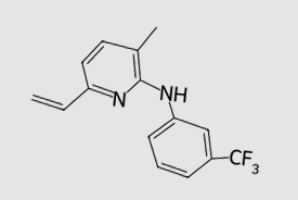 C=Cc1ccc(C)c(Nc2cccc(C(F)(F)F)c2)n1